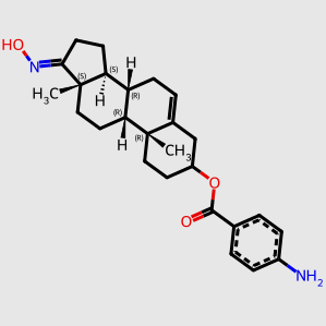 C[C@]12CCC(OC(=O)c3ccc(N)cc3)CC1=CC[C@@H]1[C@H]2CC[C@]2(C)C(=NO)CC[C@@H]12